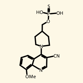 COc1cccc2c(N3CCC(COP(O)(O)=S)CC3)c(C#N)cnc12